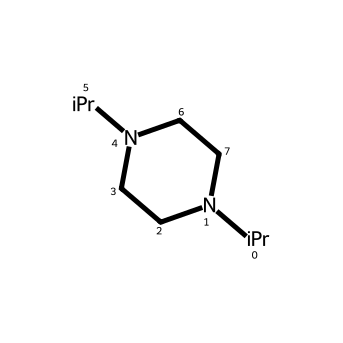 [CH2]C(C)N1CCN(C([CH2])C)CC1